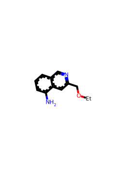 CCOCc1cc2c(N)cccc2cn1